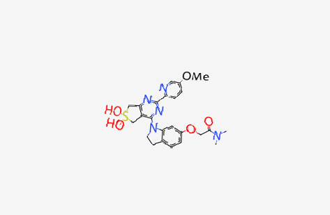 COc1ccc(-c2nc3c(c(N4CCc5ccc(OCC(=O)N(C)C)cc54)n2)CS(O)(O)C3)nc1